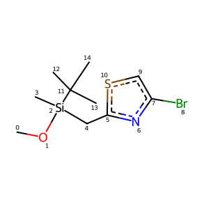 CO[Si](C)(Cc1nc(Br)cs1)C(C)(C)C